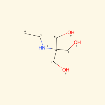 CCNC(CO)(CO)CO